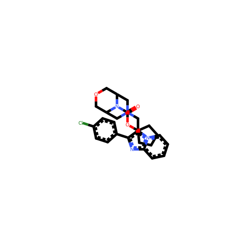 O=C(OC1CCCC1)N1C2COCC1CN(Cc1c(-c3ccc(Cl)cc3)nc3ccccn13)C2